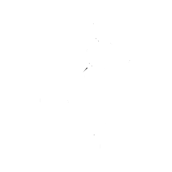 CC[Si](C#C[C@@]1(CO)O[C@H](n2cc(C(C)=O)c(=O)n(C(C)=O)c2=O)CC1O)(CC)CC